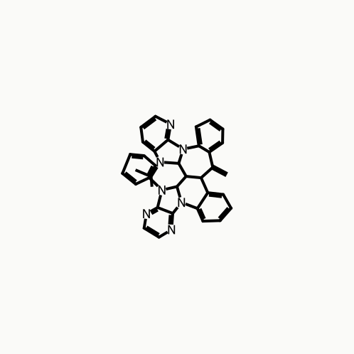 C=C1c2ccccc2N2c3ncccc3N(C(C)C)C2C2C1c1ccccc1N1c3nccnc3N(c3ccccc3)C21